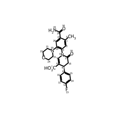 Cc1cc(N2C=C(C(=O)O)[C@H](c3ccc(F)cc3)CC2=O)c(N2CCOCC2)cc1C(N)=O